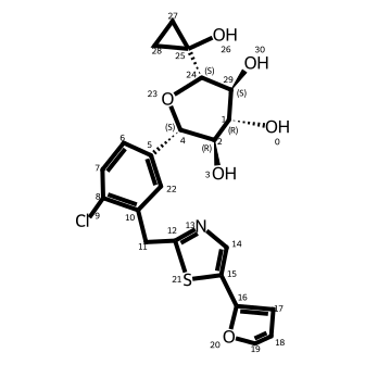 O[C@@H]1[C@@H](O)[C@H](c2ccc(Cl)c(Cc3ncc(-c4ccco4)s3)c2)O[C@H](C2(O)CC2)[C@H]1O